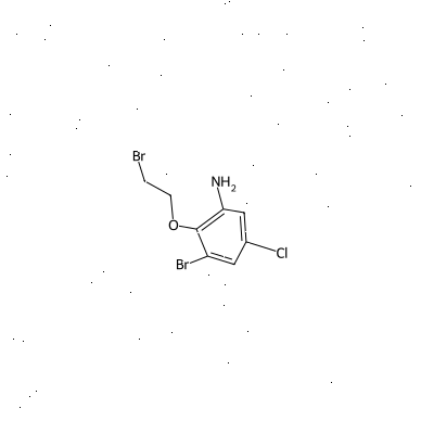 Nc1cc(Cl)cc(Br)c1OCCBr